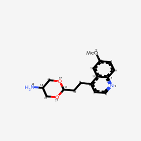 COc1ccc2nccc(CCC3OCC(N)CO3)c2c1